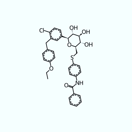 CCOc1ccc(Cc2cc([C@@H]3O[C@H](CSc4ccc(NC(=O)c5ccccc5)cc4)[C@@H](O)[C@H](O)[C@H]3O)ccc2Cl)cc1